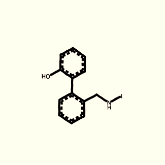 Oc1ccccc1-c1ccccc1CNI